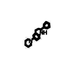 c1ccc(C2CCc3cc(N4CCCCC4)ccc3N2)cc1